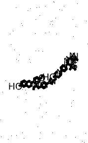 CCN(Cc1ccc(C2CN(CC3(O)CCN(c4ccc(C5=N[C@@H](C)c6nnc(C)n6-c6sc(C)c(C)c65)cc4)CC3)C2)cc1)c1cc(OC)ccc1C1CCc2cc(O)ccc2C1